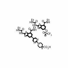 CCNC(=O)Nc1nc2cc(-c3cnc(N4CCC(C)(C(=O)O)CC4)nc3)cc(C(=O)NCC)c2s1.CCNC(=O)Nc1nc2cc(OS(=O)(=O)C(F)(F)F)cc(C(=O)NCC)c2s1